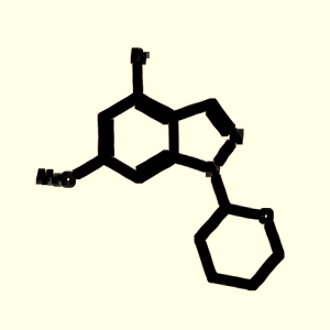 COc1cc(Br)c2cnn(C3CCCCO3)c2c1